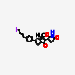 CC1C2CC(C3=CC=C(CCCCI)CC3)=CC=C2C(=O)C1C1CCC(=O)NC1=O